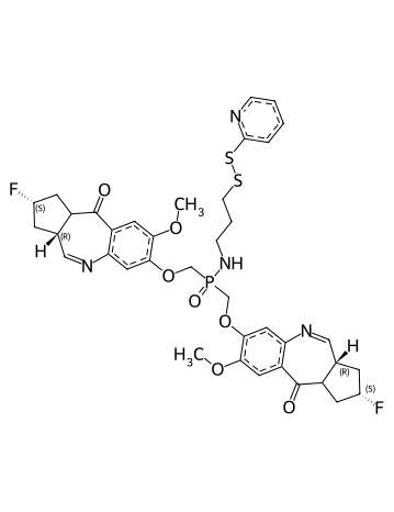 COc1cc2c(cc1OCP(=O)(COc1cc3c(cc1OC)C(=O)C1C[C@@H](F)C[C@H]1C=N3)NCCCSSc1ccccn1)N=C[C@@H]1C[C@H](F)CC1C2=O